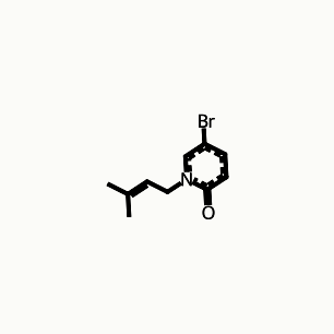 CC(C)=CCn1cc(Br)ccc1=O